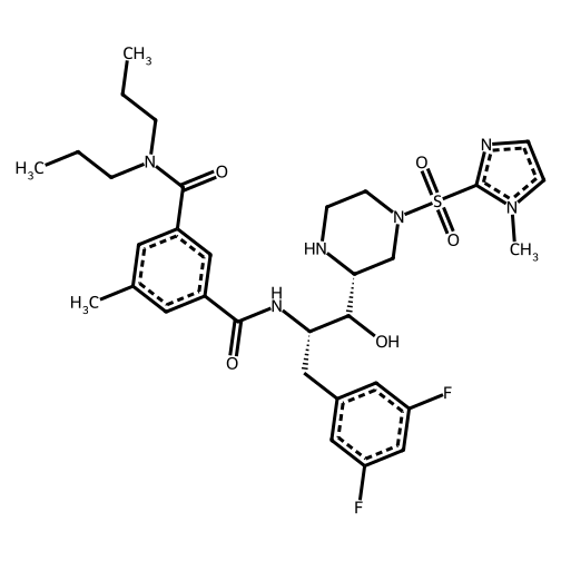 CCCN(CCC)C(=O)c1cc(C)cc(C(=O)N[C@@H](Cc2cc(F)cc(F)c2)C(O)[C@H]2CN(S(=O)(=O)c3nccn3C)CCN2)c1